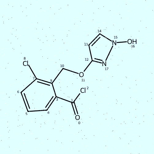 O=C(Cl)c1cccc(Cl)c1COc1ccn(O)n1